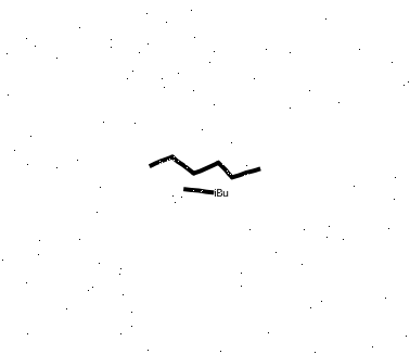 CCC(C)C.CCCCCC